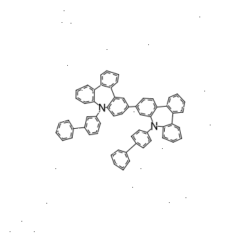 c1ccc(-c2ccc(N3c4ccccc4-c4ccccc4-c4ccc(-c5ccc6c(c5)-c5ccccc5-c5ccccc5N6c5cccc(-c6ccccc6)c5)cc43)cc2)cc1